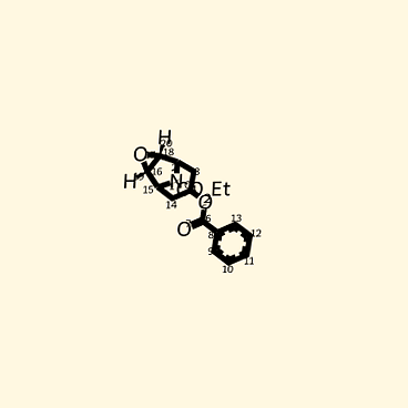 CCOC(=O)N1C2CC(OC(=O)c3ccccc3)CC1[C@@H]1O[C@H]21